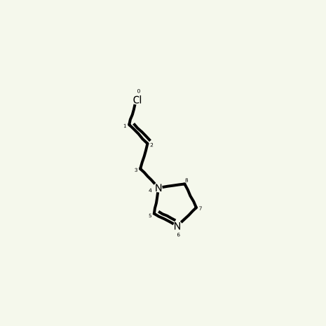 ClC=CCN1C=NCC1